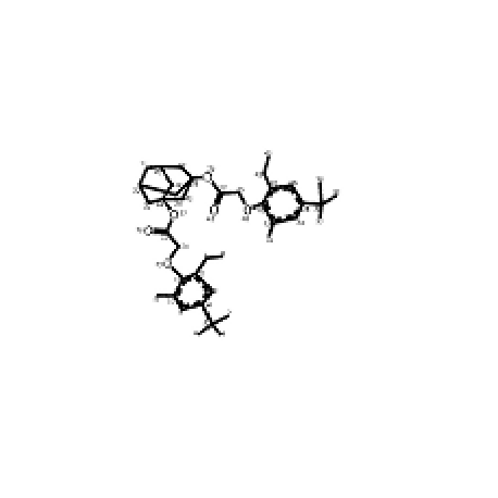 CCc1cc(C(C)(C)C)cc(C)c1OCC(=O)OC12CC3CC(C1)CC(OC(=O)COc1c(C)cc(C(C)(C)C)cc1CC)(C3)C2